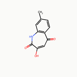 Cc1ccc2c(=O)cc(O)c(=O)[nH]c2c1